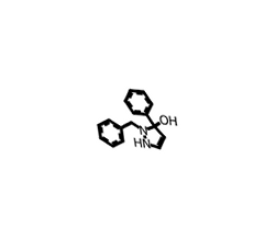 OC1(c2ccccc2)C=CNN1Cc1ccccc1